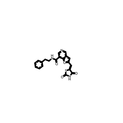 O=C1NC(=O)C(=Cc2cc3cncc(C(=O)NCCc4ccccc4)c3o2)S1